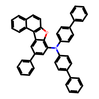 c1ccc(-c2ccc(N(c3ccc(-c4ccccc4)cc3)c3cc(-c4ccccc4)cc4c3oc3ccc5ccccc5c34)cc2)cc1